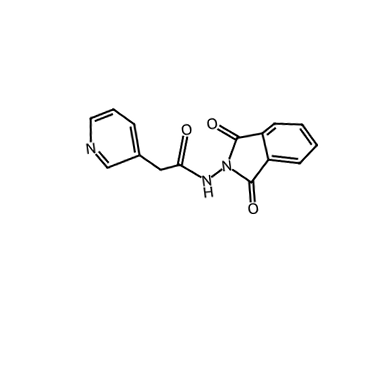 O=C(Cc1cccnc1)NN1C(=O)c2ccccc2C1=O